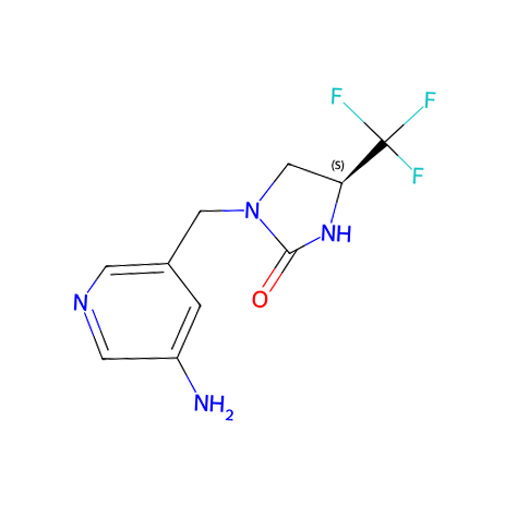 Nc1cncc(CN2C[C@@H](C(F)(F)F)NC2=O)c1